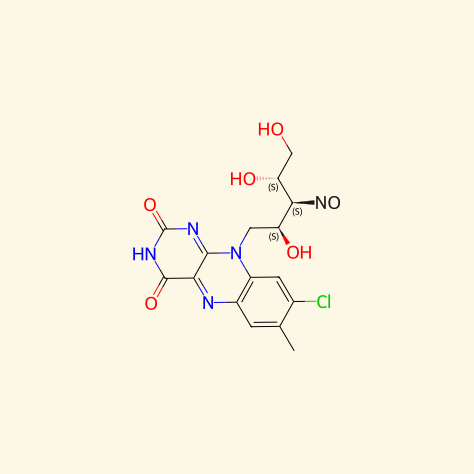 Cc1cc2nc3c(=O)[nH]c(=O)nc-3n(C[C@H](O)[C@H](N=O)[C@H](O)CO)c2cc1Cl